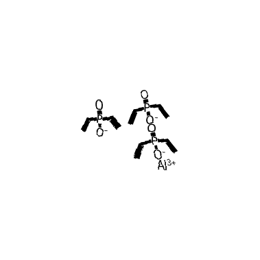 C=CP(=O)([O-])C=C.C=CP(=O)([O-])C=C.C=CP(=O)([O-])C=C.[Al+3]